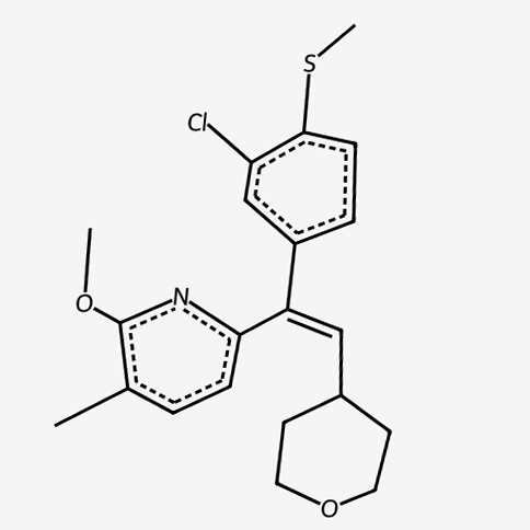 COc1nc(/C(=C\C2CCOCC2)c2ccc(SC)c(Cl)c2)ccc1C